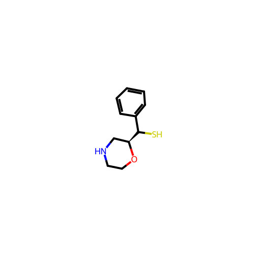 SC(c1ccccc1)[C@@H]1CNCCO1